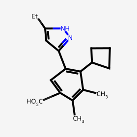 CCc1cc(-c2cc(C(=O)O)c(C)c(C)c2C2CCC2)n[nH]1